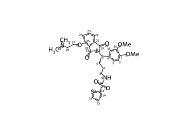 COc1ccc([C@@H](CCCNS(=O)(=O)c2cccs2)N2C(=O)c3cccc(OCCN(C)C)c3C2=O)cc1OC